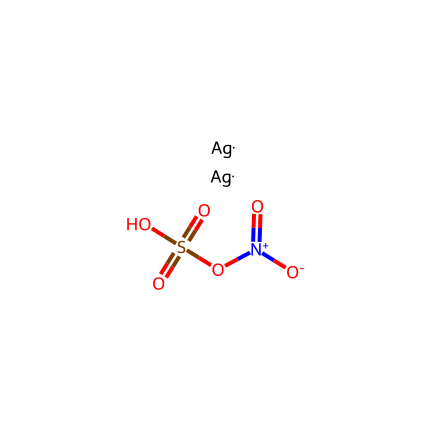 O=[N+]([O-])OS(=O)(=O)O.[Ag].[Ag]